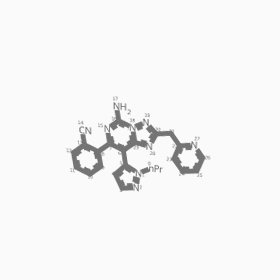 CCCn1nccc1-c1c(-c2ccccc2C#N)nc(N)n2nc(Cc3ccccn3)nc12